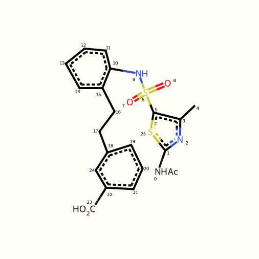 CC(=O)Nc1nc(C)c(S(=O)(=O)Nc2ccccc2CCc2cccc(C(=O)O)c2)s1